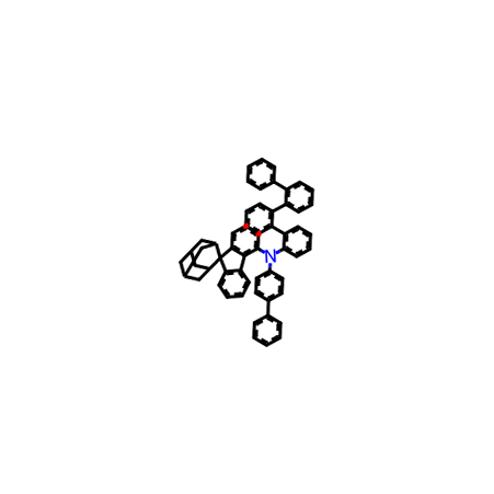 c1ccc(-c2ccc(N(c3ccccc3-c3ccccc3-c3ccccc3-c3ccccc3)c3cccc4c3-c3ccccc3C43C4CC5CC(C4)CC3C5)cc2)cc1